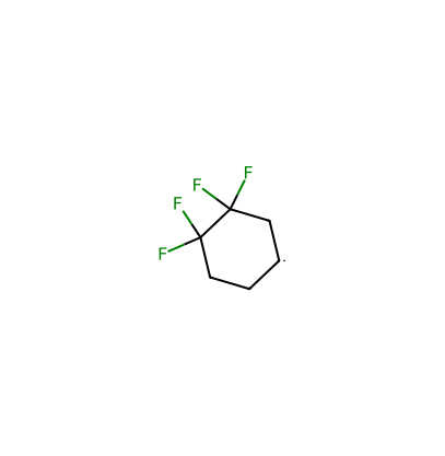 FC1(F)C[CH]CCC1(F)F